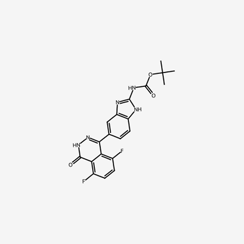 CC(C)(C)OC(=O)Nc1nc2cc(-c3n[nH]c(=O)c4c(F)ccc(F)c34)ccc2[nH]1